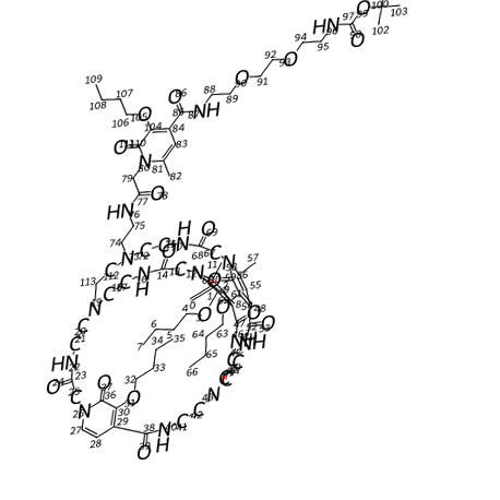 C=C1C(OCCCC)=C2C=C(C)N1CC(=O)NCCN1CCNC(=O)Cn3ccc(c(OCCCC)c3=O)C(=O)NCCN(CCNC2=O)CCNC(=O)c2cc(C)n(c(=O)c2OCCCC)CC(=O)NCCN(CCNC(=O)Cn2c(C)cc(C(=O)NCCOCCOCCNC(=O)OC(C)(C)C)c(OCCCC)c2=O)CC1